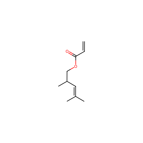 C=CC(=O)OCC(C)C=C(C)C